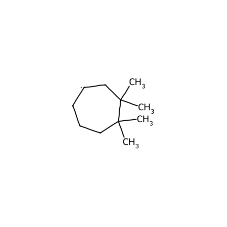 CC1(C)C[CH]CCCC1(C)C